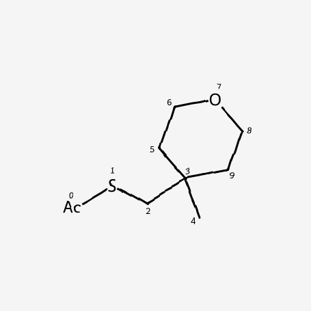 CC(=O)SCC1(C)CCOCC1